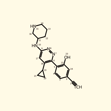 C#Cc1ccc(-c2nnc(NC3CCCNC3)cc2C2CC2)c(O)c1